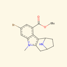 Cn1c2c(c3c(C(=O)OC(C)(C)C)cc(Br)cc31)C1CCC(C2)N1